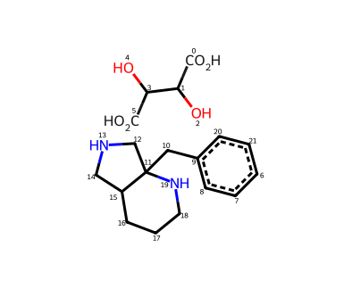 O=C(O)C(O)C(O)C(=O)O.c1ccc(CC23CNCC2CCCN3)cc1